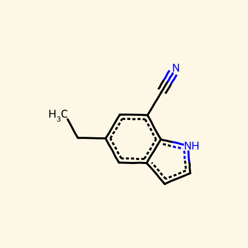 CCc1cc(C#N)c2[nH]ccc2c1